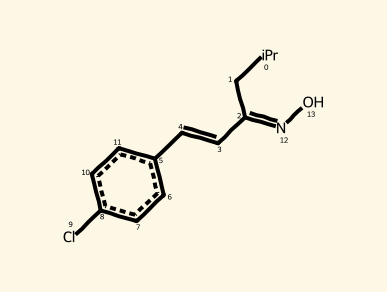 CC(C)CC(/C=C/c1ccc(Cl)cc1)=N\O